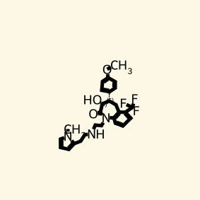 COc1ccc([C@@H]2Cc3c(cccc3C(F)(F)F)N(CCNCCc3cccn3C)C(=O)[C@@H]2O)cc1